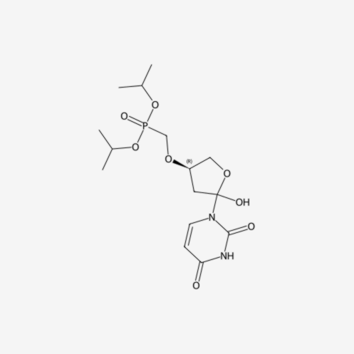 CC(C)OP(=O)(CO[C@H]1COC(O)(n2ccc(=O)[nH]c2=O)C1)OC(C)C